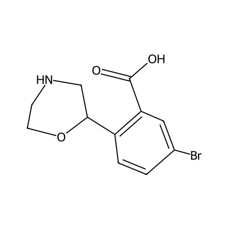 O=C(O)c1cc(Br)ccc1C1CNCCO1